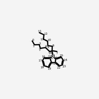 CCCCCCC(C)(CCCCCC)n1c2ccccc2c2ccccc21